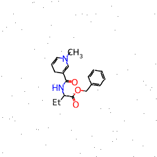 CCC(NC(=O)C1=CN(C)C=CC1)C(=O)OCc1ccccc1